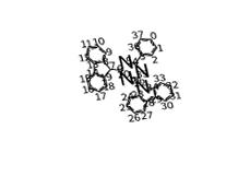 c1ccc(-c2nc(C3c4ccccc4-c4ccccc43)nc(-n3c4ccccc4c4ccccc43)n2)cc1